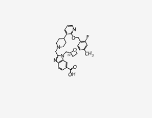 Cc1ccc(COc2ncccc2C2CCN(Cc3nc4ccc(C(=O)O)cc4n3C[C@@H]3CCO3)CC2)c(F)c1